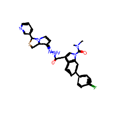 CN(C)C(=O)n1cc(C(=O)NN=C2C=CN3C2CSC3c2cccnc2)c2ccc(-c3ccc(F)cc3)cc21